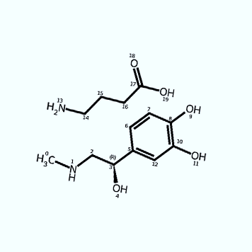 CNC[C@H](O)c1ccc(O)c(O)c1.NCCCC(=O)O